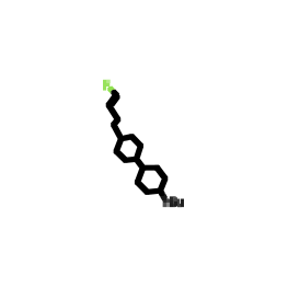 CCCCC1CCC(C2CCC(CCC=CF)CC2)CC1